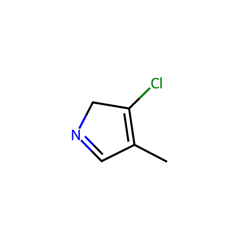 CC1=C(Cl)CN=C1